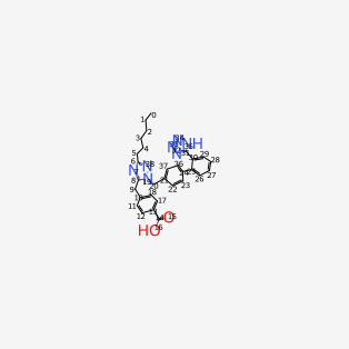 CCCCCCc1nc(Cc2ccc(C(=O)O)cc2)n(Cc2ccc(-c3ccccc3-c3nnn[nH]3)cc2)n1